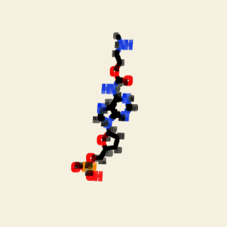 CNCCOC(=O)Nc1ncnc2c1ncn2[C@H]1CC[C@@H](CO[PH](=O)O)O1